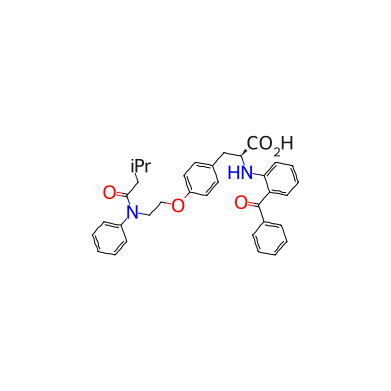 CC(C)CC(=O)N(CCOc1ccc(C[C@H](Nc2ccccc2C(=O)c2ccccc2)C(=O)O)cc1)c1ccccc1